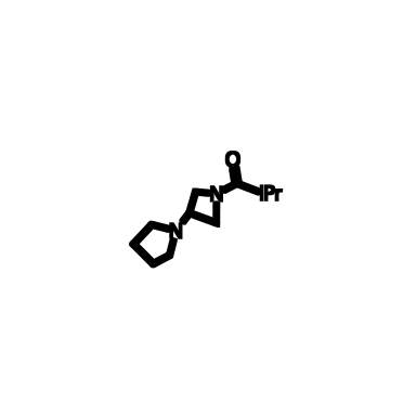 CC(C)C(=O)N1CC(N2CCCC2)C1